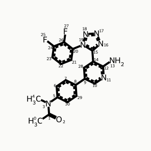 CC(=O)N(C)c1ccc(-c2cnc(N)c(-c3nnnn3-c3cccc(F)c3F)c2)cc1